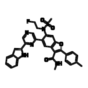 CNC(=O)c1c(-c2ccc(C)cc2)oc2cc(N(CCF)S(C)(=O)=O)c(-c3cncc(-c4cc5ccccc5[nH]4)n3)cc12